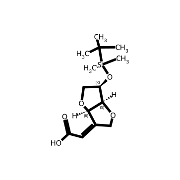 CC(C)(C)[Si](C)(C)O[C@@H]1CO[C@@H]2C(=CC(=O)O)CO[C@@H]21